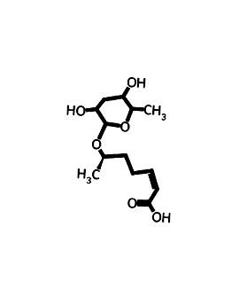 CC1OC(O[C@H](C)CC/C=C\C(=O)O)C(O)CC1O